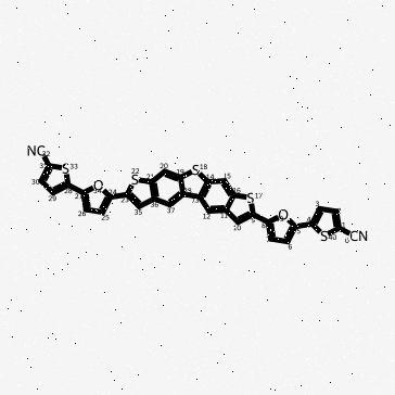 N#Cc1ccc(-c2ccc(-c3cc4cc5c(cc4s3)sc3cc4sc(-c6ccc(-c7ccc(C#N)s7)o6)cc4cc35)o2)s1